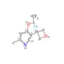 Cc1cc(OCC(F)(F)F)c(C2(F)COC2)cn1